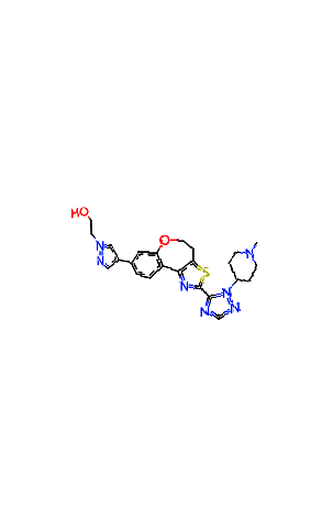 CN1CCC(n2ncnc2-c2nc3c(s2)CCOc2cc(-c4cnn(CCO)c4)ccc2-3)CC1